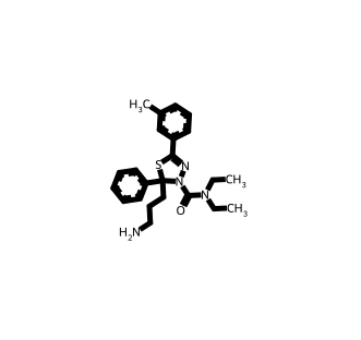 CCN(CC)C(=O)N1N=C(c2cccc(C)c2)SC1(CCCN)c1ccccc1